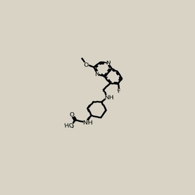 COc1cnc2ccc(F)c(CNC3CCC(NC(=O)O)CC3)c2n1